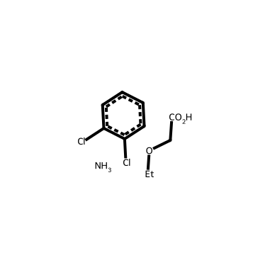 CCOCC(=O)O.Clc1ccccc1Cl.N